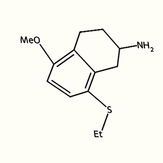 CCSc1ccc(OC)c2c1CC(N)CC2